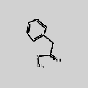 CSC(=N)Cc1ccccc1